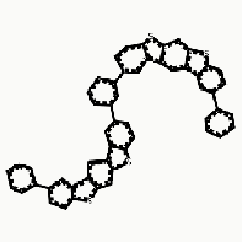 c1ccc(-c2ccc3sc4cc5sc6ccc(-c7cccc(-c8ccc9sc%10cc%11sc%12ccc(-c%13ccccc%13)cc%12c%11cc%10c9c8)c7)cc6c5cc4c3c2)cc1